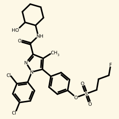 Cc1c(C(=O)NC2CCCCC2O)nn(-c2ccc(Cl)cc2Cl)c1-c1ccc(OS(=O)(=O)CCCF)cc1